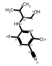 CC(C)[C@@H](CO)Nc1nc(Cl)c(C#N)cc1F